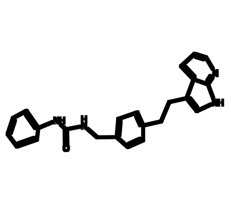 O=C(NCc1ccc(CCc2c[nH]c3ncccc23)cc1)Nc1ccccc1